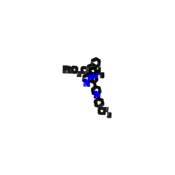 CCOC(=O)C(C)(Cc1ccccc1)c1ccnc2c(C3=CCN(c4ccc(C(F)(F)F)cc4)CC3)cnn12